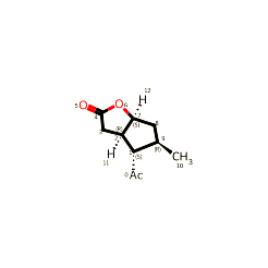 CC(=O)[C@@H]1[C@H]2CC(=O)O[C@H]2C[C@H]1C